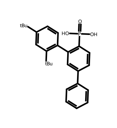 CC(C)(C)c1ccc(-c2cc(-c3ccccc3)ccc2P(=O)(O)O)c(C(C)(C)C)c1